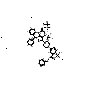 CC(C)(C)[Si](C)(C)O[C@H]1C(=O)Nc2c(c(C3CCN(c4cc(C(=O)OCc5ccccc5)c(C(F)(F)F)cn4)CC3)nn2C(c2ccccc2)c2ccccc2)[C@H]1C(F)(F)F